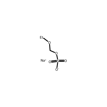 CCOCOS(=O)(=O)[O-].[Na+]